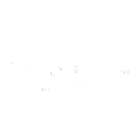 COc1ccccc1Cn1nc(NC(=O)c2ccc3c(c2)CCNC3)cc1C